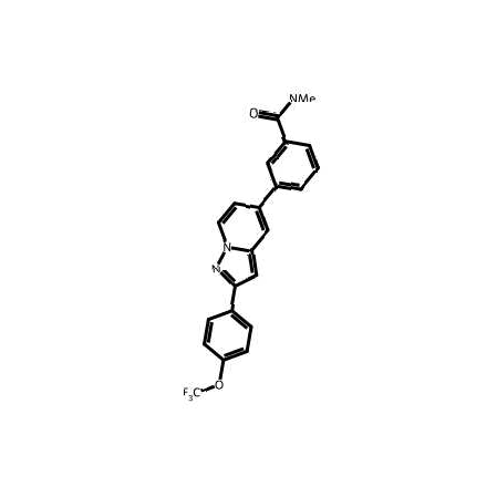 CNC(=O)c1cccc(-c2ccn3nc(-c4ccc(OC(F)(F)F)cc4)cc3c2)c1